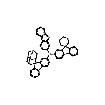 c1ccc2c(c1)-c1ccc(N(c3ccc4c(c3)C3(c5ccccc5-4)C4CCC5CC(C4)CC3C5)c3ccc4c(c3)sc3ccccc34)cc1C21CCCCC1